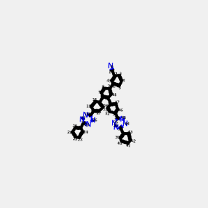 N#Cc1cccc(-c2ccc(-c3ccc(-c4nnc(-c5ccccc5)nn4)cc3)c(-c3ccc(-c4nnc(-c5ccccc5)nn4)cc3)c2)c1